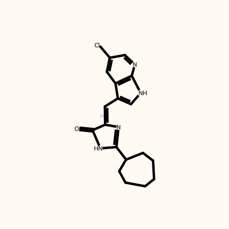 O=C1NC(C2CCCCCC2)=N/C1=C\c1c[nH]c2ncc(Cl)cc12